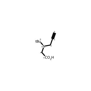 C#CCN(CC(=O)O)C(C)(C)C